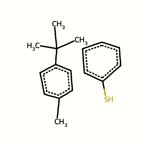 Cc1ccc(C(C)(C)C)cc1.Sc1ccccc1